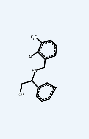 OCC(NCc1cccc(C(F)(F)F)c1Cl)c1ccccc1